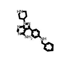 Nc1ncnc2c1c(-c1ccc(NCc3ccccc3)cc1)nn2C1CCNCC1